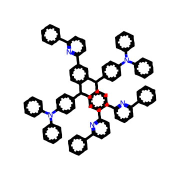 c1ccc(-c2cccc(-c3ccc4c(c3)C3(c5ccc(N(c6ccccc6)c6ccccc6)cc5)c5ccc(-c6cccc(-c7ccccc7)n6)cc5C4(c4ccc(N(c5ccccc5)c5ccccc5)cc4)c4cc(-c5cccc(-c6ccccc6)n5)ccc43)n2)cc1